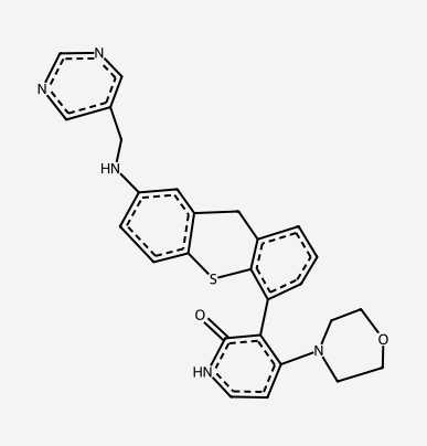 O=c1[nH]ccc(N2CCOCC2)c1-c1cccc2c1Sc1ccc(NCc3cncnc3)cc1C2